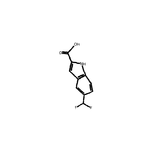 O=C(O)c1cc2cc(C(F)F)ccc2[nH]1